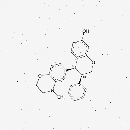 CN1CCOc2ccc([C@H]3c4ccc(O)cc4OC[C@H]3c3ccccc3)cc21